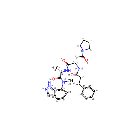 C[C@H](NC(=O)[C@H](CC(=O)N1CCCC1)NC(=O)CCc1ccccc1)C(=O)N(C)c1cccc2cn[nH]c12